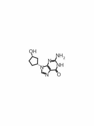 Nc1nc2c(ncn2[C@@H]2CC[C@@H](O)C2)c(=O)[nH]1